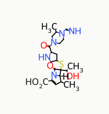 CC1C=C(C(=O)O)N2C(=O)C(SC3CNC(C(=O)N4CCN(C=N)C(C)C4)C3)(C(C)O)[C@H]12